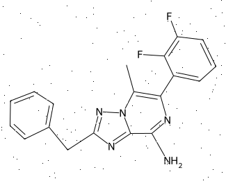 Cc1c(-c2cccc(F)c2F)nc(N)c2nc(Cc3ccccc3)nn12